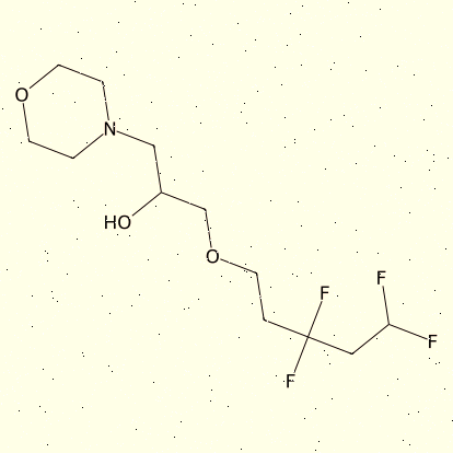 OC(COCCC(F)(F)CC(F)F)CN1CCOCC1